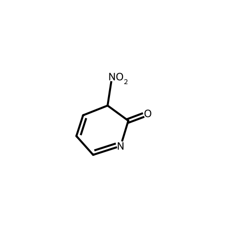 O=C1N=CC=CC1[N+](=O)[O-]